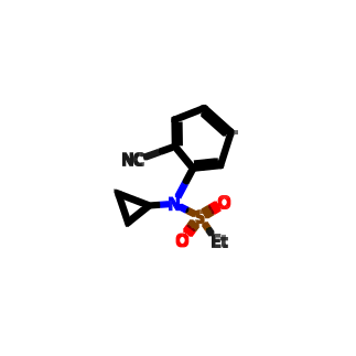 CCS(=O)(=O)N(c1c[c]ccc1C#N)C1CC1